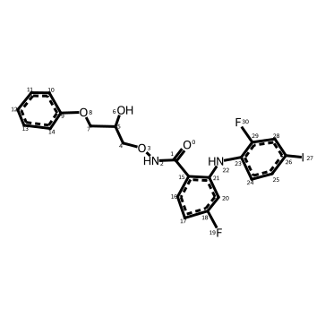 O=C(NOCC(O)COc1ccccc1)c1ccc(F)cc1Nc1ccc(I)cc1F